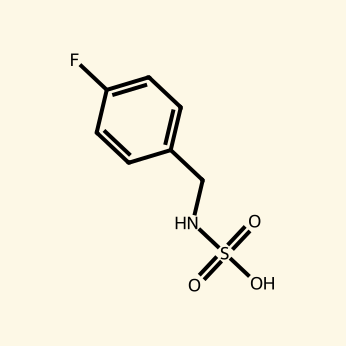 O=S(=O)(O)NCc1ccc(F)cc1